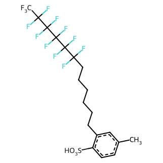 Cc1ccc(S(=O)(=O)O)c(CCCCCCC(F)(F)C(F)(F)C(F)(F)C(F)(F)C(F)(F)C(F)(F)F)c1